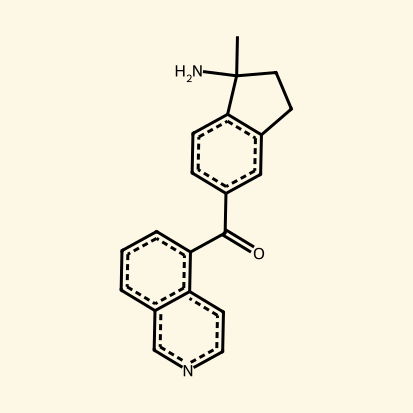 CC1(N)CCc2cc(C(=O)c3cccc4cnccc34)ccc21